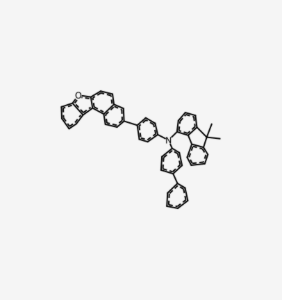 CC1(C)c2ccccc2-c2c(N(c3ccc(-c4ccccc4)cc3)c3ccc(-c4ccc5c(ccc6oc7ccccc7c65)c4)cc3)cccc21